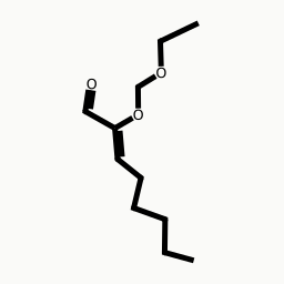 CCCCCC=C(C=O)OCOCC